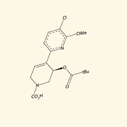 COc1nc(C2=CCN(C(=O)O)C[C@@H]2OC(=O)C(C)(C)C)ccc1Cl